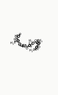 CNc1ccn(-c2ccnc3c2cc([C@H](C)N2CC=C(c4c(C)cc(C(=O)N5CCn6nc(CN7CCC(c8ccc(N[C@@H]9CCC(=O)NC9=O)c(OC)c8)CC7)cc6C5)cc4F)CC2)n3C)c(=O)c1